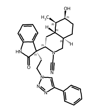 C[C@@H]1[C@H]2C[C@@H]([C@@]3(CCn4cc(-c5ccccc5)nn4)C(=O)Nc4ccccc43)N(C#N)C[C@@H]2CC[C@@H]1O